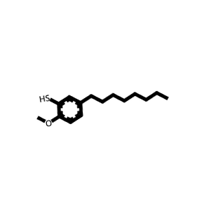 CCCCCCCCc1ccc(OC)c(S)c1